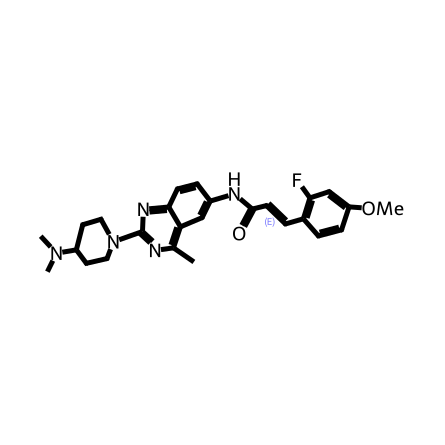 COc1ccc(/C=C/C(=O)Nc2ccc3nc(N4CCC(N(C)C)CC4)nc(C)c3c2)c(F)c1